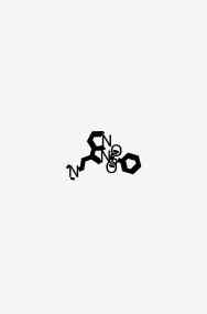 CN(C)CCc1cn(S(=O)(=O)c2ccccc2)c2ncccc12